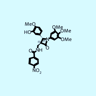 COc1ccc([C@H]2[C@H](CNC(=O)c3ccc([N+](=O)[O-])cc3)C(=O)N2c2cc(OC)c(OC)c(OC)c2)cc1O